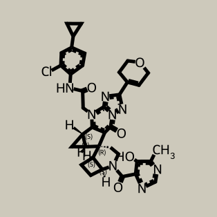 Cc1ncnc(C(=O)N2CC[C@]3(c4c(n(CC(=O)Nc5ccc(C6CC6)cc5Cl)c5nc(C6=CCOCC6)nn5c4=O)[C@H]4C[C@H]43)[C@@H]3CC[C@@H]32)c1O